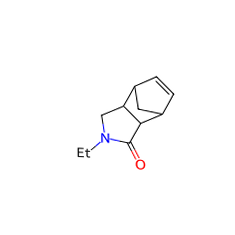 CCN1CC2C3C=CC(C3)C2C1=O